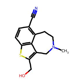 CN1CCc2c(C#N)ccc3sc(CO)c(c23)C1